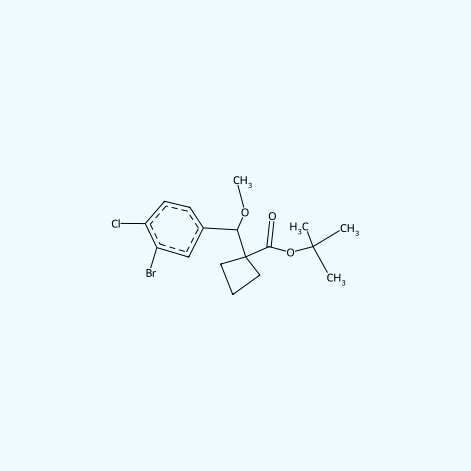 COC(c1ccc(Cl)c(Br)c1)C1(C(=O)OC(C)(C)C)CCC1